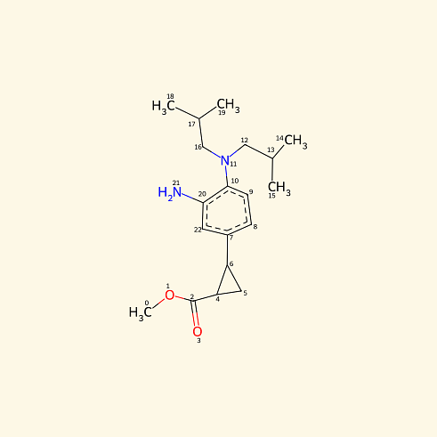 COC(=O)C1CC1c1ccc(N(CC(C)C)CC(C)C)c(N)c1